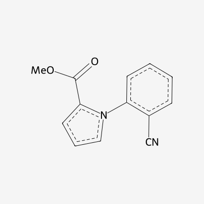 COC(=O)c1cccn1-c1ccccc1C#N